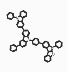 c1ccc(-c2ccc3c(c2)c2cc(-c4ccc5c(c4)c4ccccc4n5-c4ccccc4)ccc2n3-c2ccc(-c3ccc4c(c3)c3c5ccccc5oc3n4-c3ccccc3)cc2)cc1